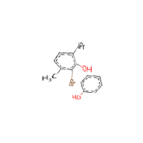 Cc1ccc(C(C)C)c(O)c1Br.Oc1ccccc1